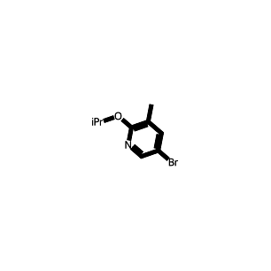 Cc1cc(Br)cnc1OC(C)C